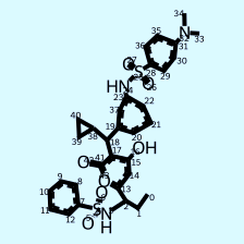 CCC(NS(=O)(=O)c1ccccc1)c1cc(O)c(C(c2cccc(NS(=O)(=O)c3ccc(N(C)C)cc3)c2)C2CC2)c(=O)o1